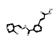 O=C(/C=C/c1cccc(C(=O)N/N=C/c2ccncc2Br)c1)NO